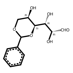 O=C[C@H](O)[C@@H](O)[C@H]1OC(c2ccccc2)OC[C@H]1O